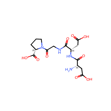 N[C@@H](CC(=O)O)C(=O)N[C@@H](CC(=O)O)C(=O)NCC(=O)N1CCC[C@H]1C(=O)O